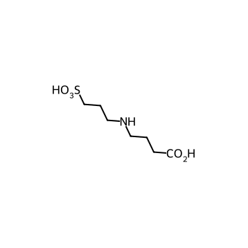 O=C(O)CCCNCCCS(=O)(=O)O